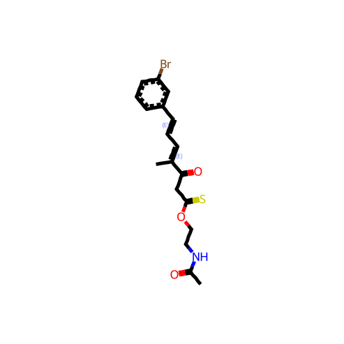 CC(=O)NCCOC(=S)CC(=O)/C(C)=C/C=C/c1cccc(Br)c1